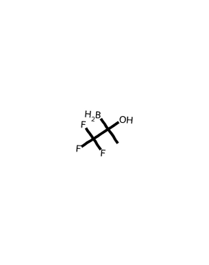 BC(C)(O)C(F)(F)F